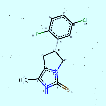 Cc1[nH]c(=S)n2c1C[C@H](c1cc(Cl)ccc1F)C2